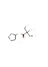 CCC(N)(CC)C(=O)OC1CCCC1.Cl